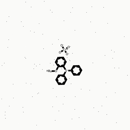 CCCCOc1ccccc1[S+](c1ccccc1)c1ccccc1.[O-][Cl+3]([O-])([O-])[O-]